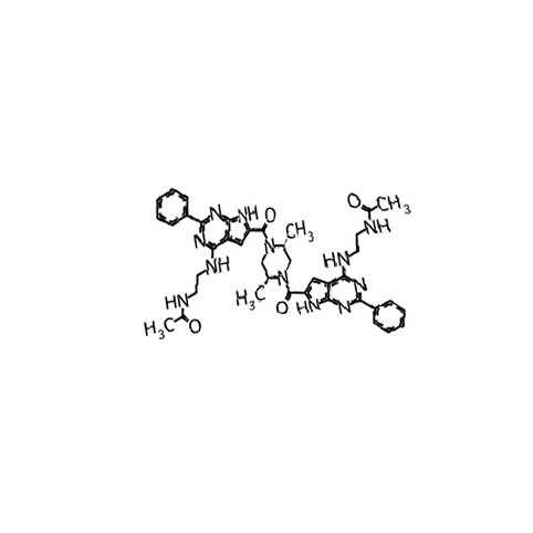 CC(=O)NCCNc1nc(-c2ccccc2)nc2[nH]c(C(=O)N3C[C@H](C)N(C(=O)c4cc5c(NCCNC(C)=O)nc(-c6ccccc6)nc5[nH]4)C[C@H]3C)cc12